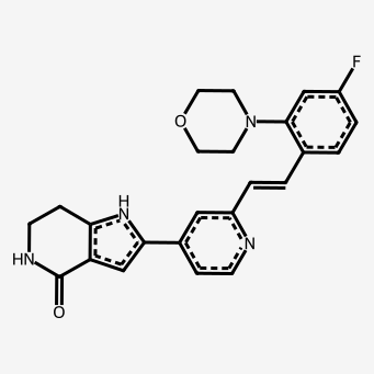 O=C1NCCc2[nH]c(-c3ccnc(/C=C/c4ccc(F)cc4N4CCOCC4)c3)cc21